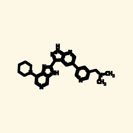 CN(C)Cc1cncc(-c2cnc3[nH]nc(-c4nc5c(N6CCCCC6)cncc5[nH]4)c3c2)c1